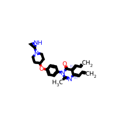 C=C/C=c1/nc(C)n(-c2ccc(OC3CCN(C4CN4)CC3)cc2)c(=O)/c1=C/C=C